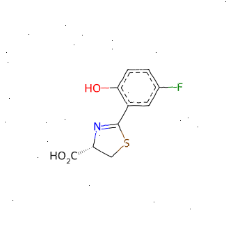 O=C(O)[C@H]1CSC(c2cc(F)ccc2O)=N1